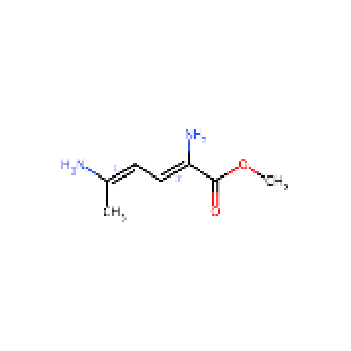 COC(=O)/C(N)=C/C=C(\C)N